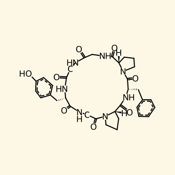 O=C1CNC(=O)[C@@H]2CCCN2C(=O)[C@H](Cc2ccccc2)NC(=O)[C@@H]2CCCN2C(=O)CNC(=O)[C@H](Cc2ccc(O)cc2)NC(=O)CN1